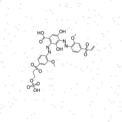 C=CS(=O)(=O)c1ccc(N=Nc2c(O)cc(C(=O)O)c(N=Nc3ccc(S(=O)(=O)CCOS(=O)(=O)O)cc3OC)c2O)c(OC)c1